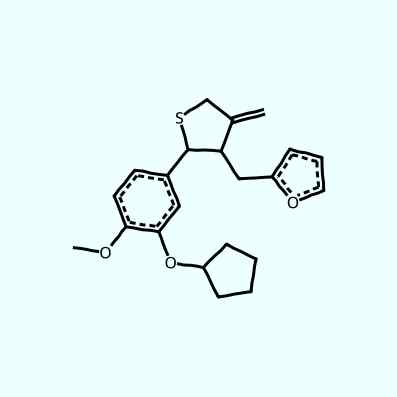 C=C1CSC(c2ccc(OC)c(OC3CCCC3)c2)C1Cc1ccco1